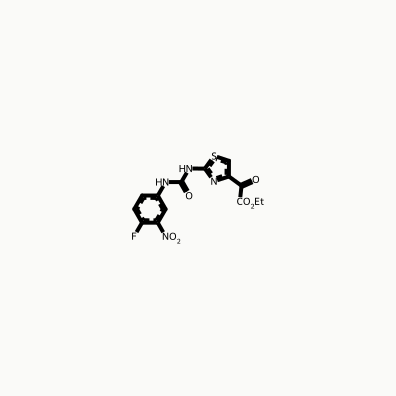 CCOC(=O)C(=O)c1csc(NC(=O)Nc2ccc(F)c([N+](=O)[O-])c2)n1